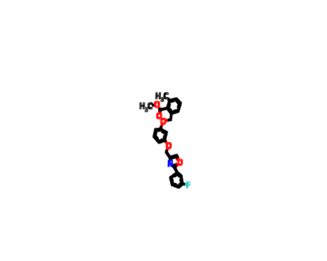 COC(=O)c1c(C)cccc1COc1cccc(OCc2coc(-c3cccc(F)c3)n2)c1